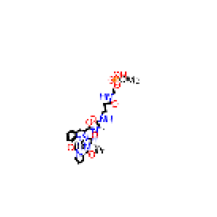 COP(=O)(O)OCCNC(=O)CCCNC(=O)[C@H](C)NC(=O)[C@H](Cc1ccccc1)NC(=O)[C@H](CC(C)C)NC(=O)[C@@H]1CCCN1[C](=O)[Ra][CH3]